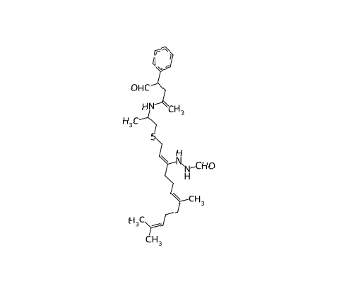 C=C(CC(C=O)c1ccccc1)NC(C)CSC/C=C(/CC/C=C(\C)CCC=C(C)C)NNC=O